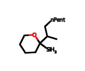 CCCCCCC(C)C1([SiH3])CCCCO1